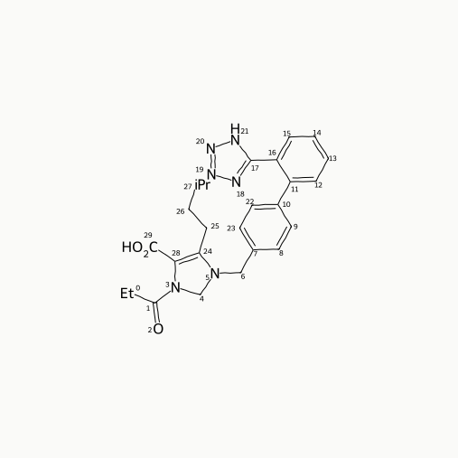 CCC(=O)N1CN(Cc2ccc(-c3ccccc3-c3nnn[nH]3)cc2)C(CCC(C)C)=C1C(=O)O